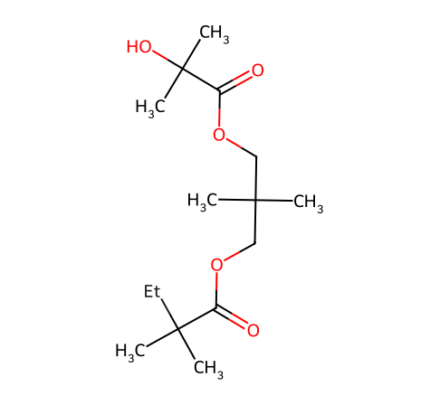 CCC(C)(C)C(=O)OCC(C)(C)COC(=O)C(C)(C)O